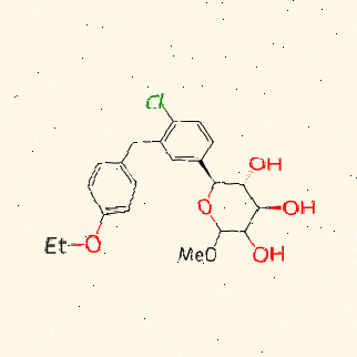 CCOc1ccc(Cc2cc([C@@H]3OC(OC)C(O)[C@H](O)[C@H]3O)ccc2Cl)cc1